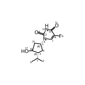 CC(C)[C@H]1C[C@@H](n2cc(F)c(=O)[nH]c2=O)CC1O